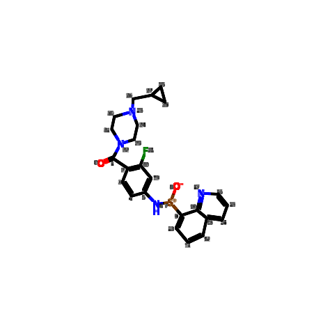 O=C(c1ccc(N[S+]([O-])c2cccc3cccnc23)cc1F)N1CCN(CC2CC2)CC1